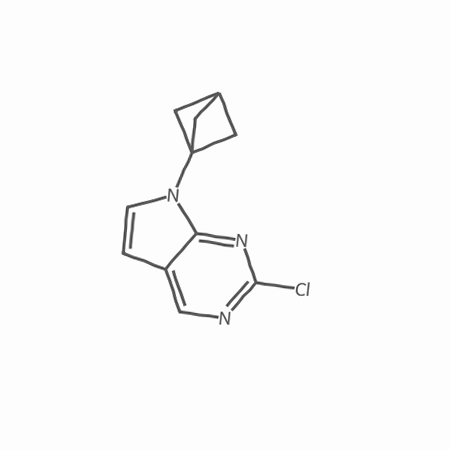 Clc1ncc2ccn(C34CC(C3)C4)c2n1